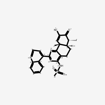 C[C@H]1C(=O)C(C#N)=C[C@@]2(C)c3nc(-c4ccnc5ccccc45)nc(NS(C)(=O)=O)c3CC[C@H]12